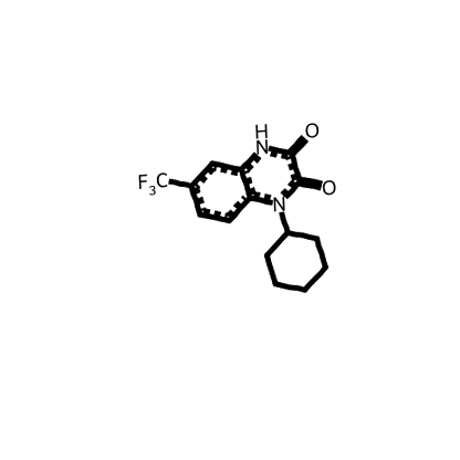 O=c1[nH]c2cc(C(F)(F)F)ccc2n(C2CCCCC2)c1=O